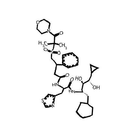 CC(C)(C(=O)N1CCOCC1)S(=O)(=O)CC(CC(=O)NC(Cc1cscn1)C(=O)N[C@@H](CC1CCCCC1)[C@@H](O)[C@@H](O)C1CC1)c1ccccc1